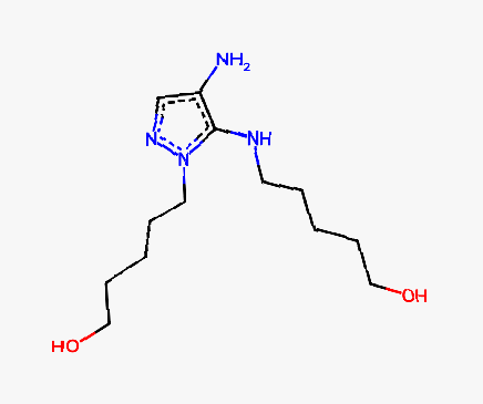 Nc1cnn(CCCCCO)c1NCCCCCO